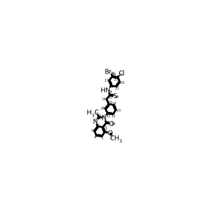 COc1cccc2nc(C)n(-c3cccc(CC(=S)Nc4ccc(Cl)c(Br)c4)c3)c(=O)c12